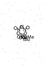 COc1ccc2cc1N(C(=O)OC(C)(C)C)c1cc(ccc1OC)N(c1ccccc1)c1cccc(c1Cl)N2c1ccccc1